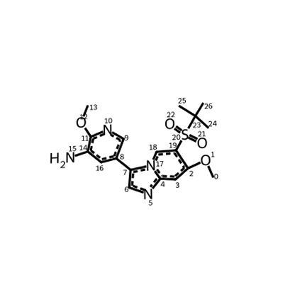 COc1cc2ncc(-c3cnc(OC)c(N)c3)n2cc1S(=O)(=O)C(C)(C)C